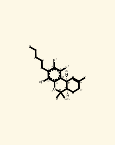 CCCCCc1c(F)c(F)c2c(c1F)OC(C)(C)[C@@H]1CCC(C)=C[C@H]21